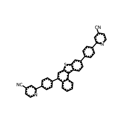 N#Cc1ccnc(-c2ccc(-c3ccc4c(c3)sc3cc(-c5ccc(-c6cc(C#N)ccn6)cc5)c5ccccc5c34)cc2)c1